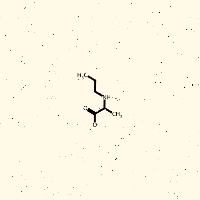 CCCNC(C)C([O])=O